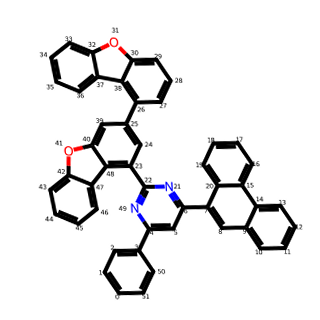 c1ccc(-c2cc(-c3cc4ccccc4c4ccccc34)nc(-c3cc(-c4cccc5oc6ccccc6c45)cc4oc5ccccc5c34)n2)cc1